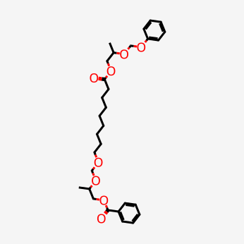 CC(COC(=O)CCCCCCCCOCOC(C)COC(=O)c1ccccc1)OCOc1ccccc1